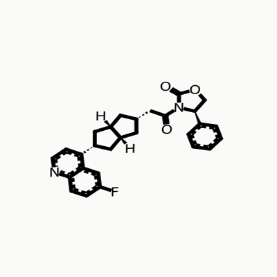 O=C(C[C@@H]1C[C@@H]2C[C@H](c3ccnc4ccc(F)cc34)C[C@@H]2C1)N1C(=O)OC[C@H]1c1ccccc1